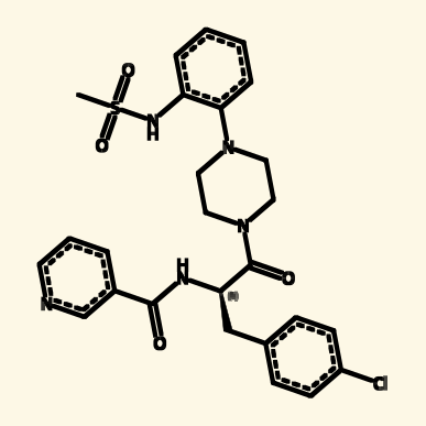 CS(=O)(=O)Nc1ccccc1N1CCN(C(=O)[C@@H](Cc2ccc(Cl)cc2)NC(=O)c2cccnc2)CC1